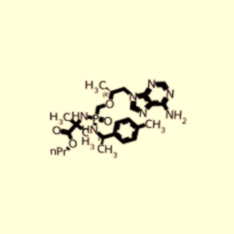 CCCOC(=O)C(C)(C)NP(=O)(CO[C@H](C)Cn1cnc2c(N)ncnc21)N[C@H](C)c1ccc(C)cc1